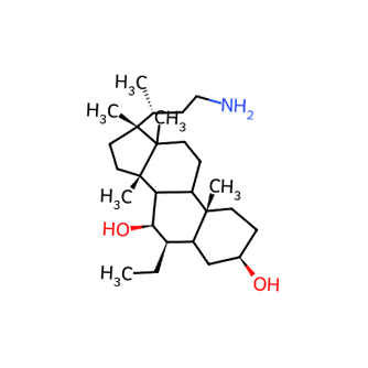 CC[C@@H]1C2C[C@H](O)CC[C@@]2(C)C2CCC3(C)[C@@](C)(CC[C@]3(C)[C@H](C)CCN)C2[C@@H]1O